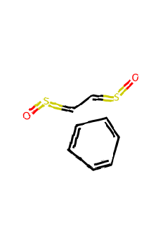 O=S=CC=S=O.c1ccccc1